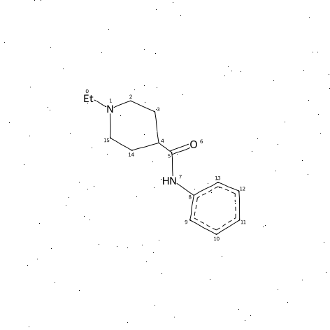 CCN1CCC(C(=O)Nc2ccccc2)CC1